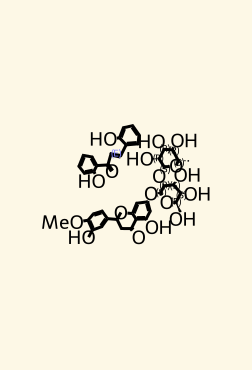 COc1ccc(C2CC(=O)c3c(O)cc(O[C@@H]4O[C@H](CO)[C@@H](O)[C@H](O)[C@H]4O[C@@H]4O[C@@H](C)[C@H](O)[C@@H](O)[C@H]4O)cc3O2)cc1O.O=C(/C=C/c1ccccc1O)c1ccccc1O